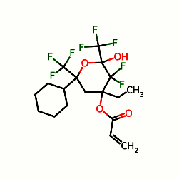 C=CC(=O)OC1(CC)CC(C2CCCCC2)(C(F)(F)F)OC(O)(C(F)(F)F)C1(F)F